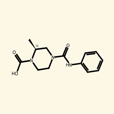 C[C@H]1CN(C(=O)Nc2ccccc2)CCN1C(=O)O